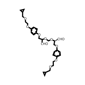 O=CC(COc1ccc(OCCOCC2CC2)cc1)OCO[C@@H](C=O)COc1ccc(OCCOCC2CC2)cc1